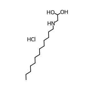 CCCCCCCCCCCCCNCC(O)O.Cl